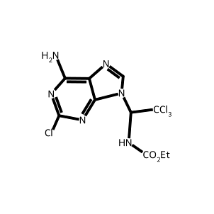 CCOC(=O)NC(n1cnc2c(N)nc(Cl)nc21)C(Cl)(Cl)Cl